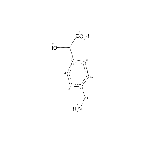 NCc1ccc(C(O)C(=O)O)cc1